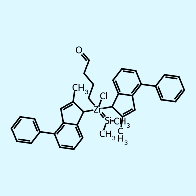 CC1=Cc2c(-c3ccccc3)cccc2[CH]1[Zr]([Cl])([CH2]CCC=O)([CH]1C(C)=Cc2c(-c3ccccc3)cccc21)=[Si](C)C